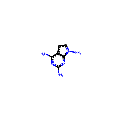 Nc1nc(N)c2ccn(N)c2n1